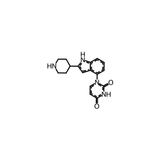 O=c1ccn(-c2cccc3[nH]c(C4CCNCC4)cc23)c(=O)[nH]1